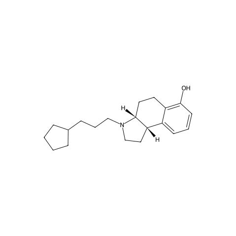 Oc1cccc2c1CC[C@@H]1[C@H]2CCN1CCCC1CCCC1